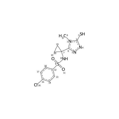 Cn1c(S)nnc1C1(NS(=O)(=O)c2ccc(Cl)cc2)CC1